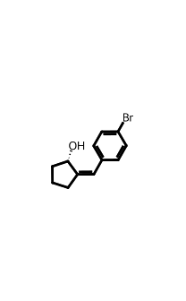 O[C@H]1CCCC1=Cc1ccc(Br)cc1